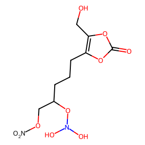 O=c1oc(CO)c(CCCC(CO[N+](=O)[O-])ON(O)O)o1